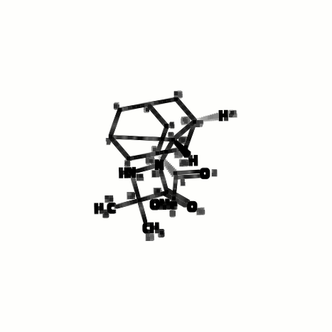 COC(=O)[C@@]12CC3CC(C1)[C@@H](N1NC(C)(C)C1=O)[C@@H](C3)C2